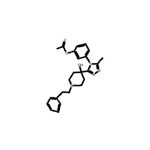 CC(=O)Oc1cccc(-n2c(C)nnc2C2(O)CCN(CCc3ccccc3)CC2)c1